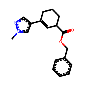 Cn1cc(C2=CC(C(=O)OCc3ccccc3)CCC2)cn1